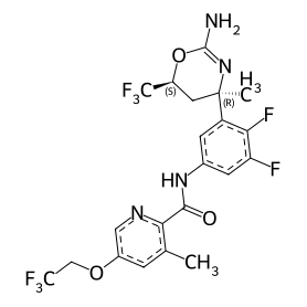 Cc1cc(OCC(F)(F)F)cnc1C(=O)Nc1cc(F)c(F)c([C@@]2(C)C[C@@H](C(F)(F)F)OC(N)=N2)c1